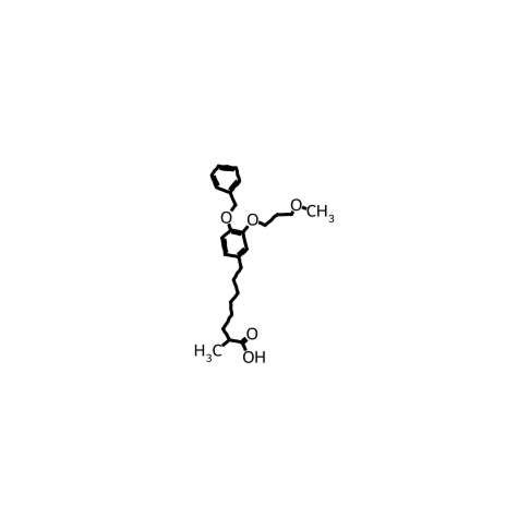 COCCCOc1cc(CCCCCCC(C)C(=O)O)ccc1OCc1ccccc1